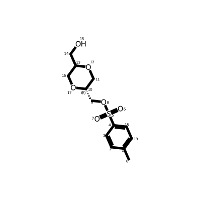 Cc1ccc(S(=O)(=O)OC[C@H]2COC(CO)CO2)cc1